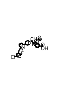 CC(c1nc2ccc(C(=O)O)cc2n1C[C@@H]1CCO1)N1CCC(c2cccc(OCc3cc(Cl)ccc3F)n2)CC1